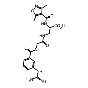 Cc1noc(C)c1C(=O)NC(CNC(=O)CNC(=O)c1cccc(NC(=N)N)c1)C(=O)O